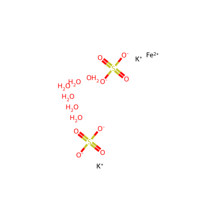 O.O.O.O.O.O.O=S(=O)([O-])[O-].O=S(=O)([O-])[O-].[Fe+2].[K+].[K+]